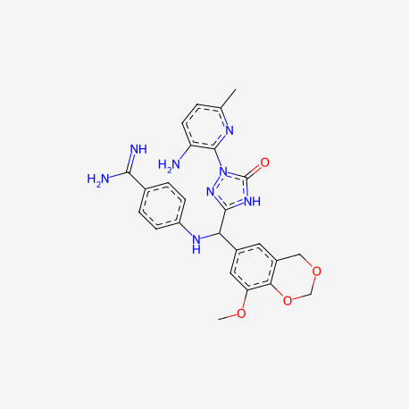 COc1cc(C(Nc2ccc(C(=N)N)cc2)c2nn(-c3nc(C)ccc3N)c(=O)[nH]2)cc2c1OCOC2